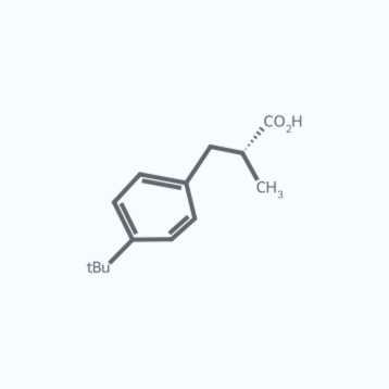 C[C@H](Cc1ccc(C(C)(C)C)cc1)C(=O)O